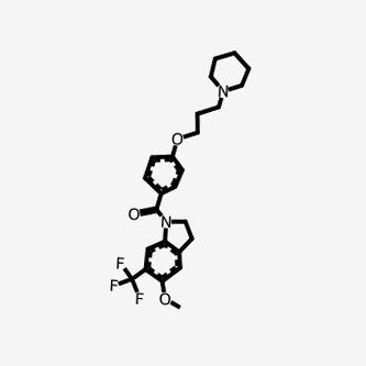 COc1cc2c(cc1C(F)(F)F)N(C(=O)c1ccc(OCCCN3CCCCC3)cc1)CC2